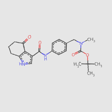 CN(Cc1ccc(NC(=O)c2c[nH]c3c2C(=O)CCC3)cc1)C(=O)OC(C)(C)C